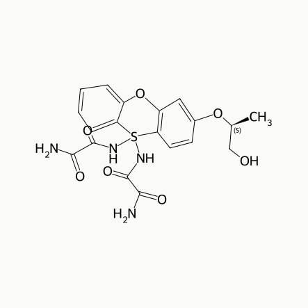 C[C@@H](CO)Oc1ccc2c(c1)Oc1ccccc1S2(NC(=O)C(N)=O)NC(=O)C(N)=O